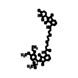 CCOc1cc([C@@H](CS(C)(=O)=O)N2C(=O)c3cccc(NC(=O)CCOCCOCCNc4cccc5c4C(=O)N(C4CCC(=O)NC4=O)C5=O)c3C2=O)ccc1OC